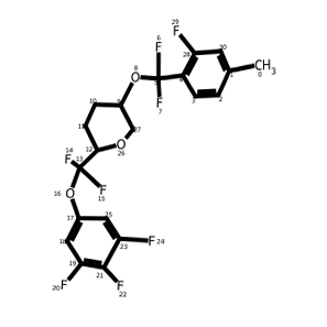 Cc1ccc(C(F)(F)OC2CCC(C(F)(F)Oc3cc(F)c(F)c(F)c3)OC2)c(F)c1